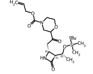 C=CCOC(=O)N1CCOC(C(=O)C[C@H]2NC(=O)[C@@H]2[C@@H](C)O[Si](C)(C)C(C)(C)C)C1